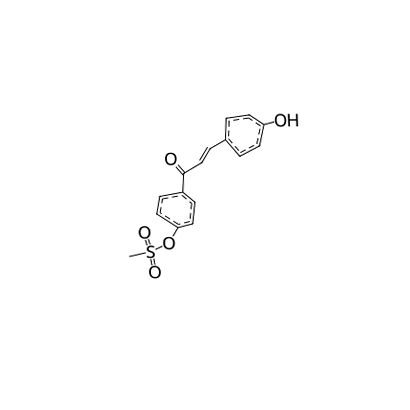 CS(=O)(=O)Oc1ccc(C(=O)C=Cc2ccc(O)cc2)cc1